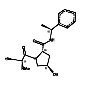 CN[C@H](C(=O)N1C[C@H](O)C[C@H]1C(=O)N[C@@H](C)c1ccccc1)C(C)(C)C